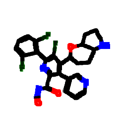 O=NC(=O)c1nc(-c2c(F)cccc2F)c(F)c(C2CCC3NCCCC3O2)c1-c1cccnc1